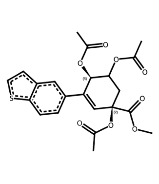 COC(=O)[C@]1(OC(C)=O)C=C(c2ccc3sccc3c2)[C@@H](OC(C)=O)C(OC(C)=O)C1